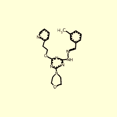 Cc1cccc(C=NNc2nc(OCCc3ccccn3)nc(N3CCOCC3)n2)c1